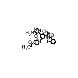 C=CC(=O)N1CCC[C@@H](COc2c(N)ncnc2-c2cc(F)cc(C3(NC(=O)c4ccccc4F)CC3)c2C)C1